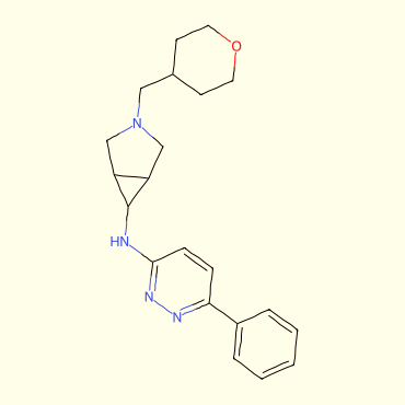 c1ccc(-c2ccc(NC3C4CN(CC5CCOCC5)CC43)nn2)cc1